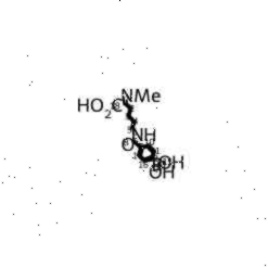 CNC(CCCCNC(=O)c1ccc(B(O)O)cc1)C(=O)O